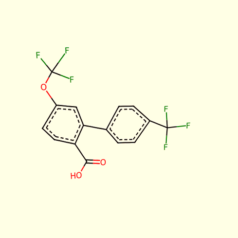 O=C(O)c1ccc(OC(F)(F)F)cc1-c1ccc(C(F)(F)F)cc1